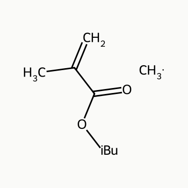 C=C(C)C(=O)OC(C)CC.[CH3]